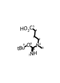 CN(CCCC(=O)O)C(=N)OC(C)(C)C